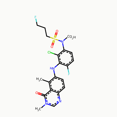 Cc1c(Nc2c(F)ccc(N(C(=O)O)S(=O)(=O)CCCF)c2Cl)ccc2ncn(C)c(=O)c12